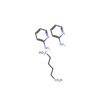 Nc1ccccn1.Nc1ccccn1.O=C(O)CCCCC(=O)O